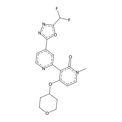 Cn1ccc(OC2CCOCC2)c(-c2cc(-c3nnc(C(F)F)o3)ccn2)c1=O